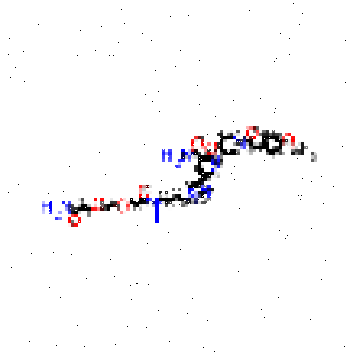 NC(=O)CCOCCOCCC(=O)NCCCCn1cnc(-c2cnc(OC3CCN(C(=O)Cc4ccc(OC(F)(F)F)cc4)CC3)c(C(N)=O)c2)c1